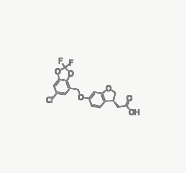 O=C(O)C[C@@H]1COc2cc(OCc3cc(Cl)cc4c3OC(F)(F)O4)ccc21